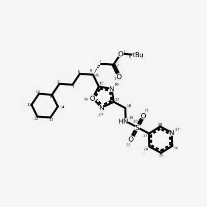 CC(C)(C)OC(=O)C[C@@H](CCCC1CCCCC1)c1nc(CNS(=O)(=O)c2cccnc2)no1